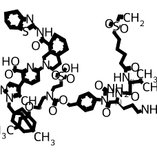 C=CS(=O)(=O)CCCCCC(=O)N[C@H](C(=O)N[C@@H](CCCN)C(=O)N(C(N)=O)c1ccc(COC(=O)N(CCOC23CC4(C)CC(C)(CC(Cn5ncc(-c6ccc(N7CCc8cccc(C(=O)Nc9nc%10ccccc%10s9)c8C7)nc6C(=O)O)c5C)(C4)C2)C3)CCS(=O)(=O)O)cc1)C(C)C